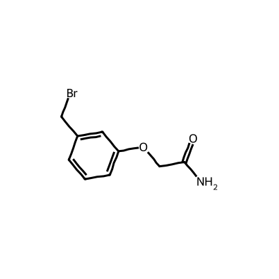 NC(=O)COc1cccc(CBr)c1